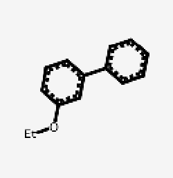 [CH2]COc1cccc(-c2ccccc2)c1